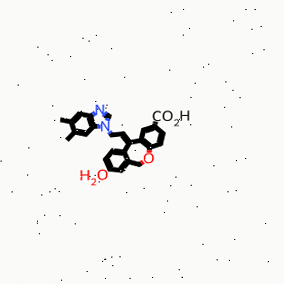 Cc1cc2ncn(C/C=C3\c4ccccc4COc4ccc(C(=O)O)cc43)c2cc1C.O